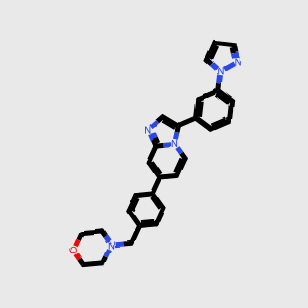 c1cc(-c2cnc3cc(-c4ccc(CN5CCOCC5)cc4)ccn23)cc(-n2cccn2)c1